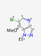 CCn1ncc2ncc(Br)c(OC)c21